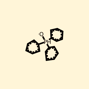 [O][PH](c1ccccc1)(c1ccccc1)c1ccccc1